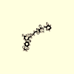 O=C(NCc1ncccc1F)c1coc(CCNCCc2nc3cc4c(cc3n2CC(F)F)OCCO4)n1